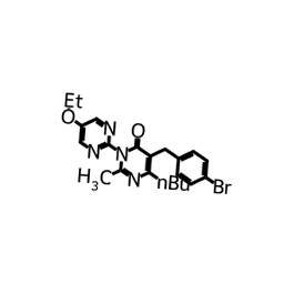 CCCCc1nc(C)n(-c2ncc(OCC)cn2)c(=O)c1Cc1ccc(Br)cc1